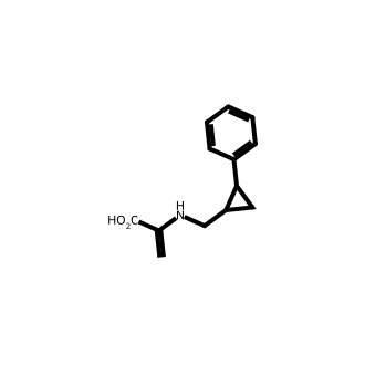 C=C(NCC1CC1c1ccccc1)C(=O)O